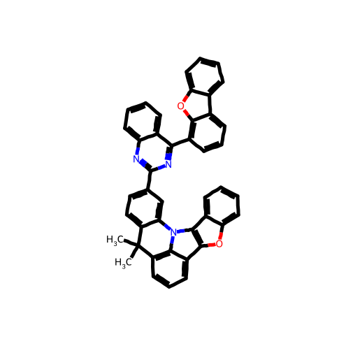 CC1(C)c2ccc(-c3nc(-c4cccc5c4oc4ccccc45)c4ccccc4n3)cc2-n2c3c1cccc3c1oc3ccccc3c12